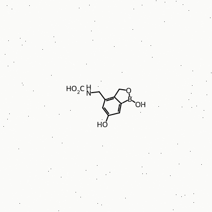 O=C(O)NCc1cc(O)cc2c1COB2O